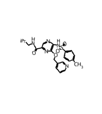 Cc1ccc(S(=O)(=O)Nc2ncc(C(=O)NCC(C)C)nc2OCc2cccnc2)cc1